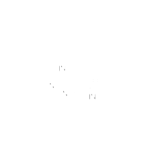 CNC(=O)c1cn2c(C)c(C)nc2c2c1CCC(c1ccccc1)N2